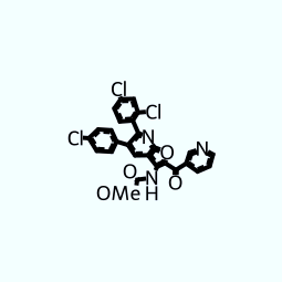 COC(=O)Nc1c(C(=O)c2cccnc2)oc2nc(-c3ccc(Cl)cc3Cl)c(-c3ccc(Cl)cc3)cc12